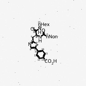 CCCCCCCCCC(=O)N[C@@H](Cc1ncc(-c2ccc(C(=O)O)cc2)s1)C(=O)NCCCCCC